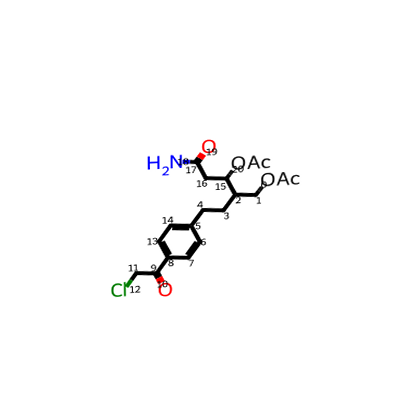 CC(=O)OCC(CCc1ccc(C(=O)CCl)cc1)C(CC(N)=O)OC(C)=O